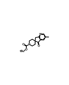 Cc1cnc2c(c1)C(=O)C1(CCN(C(=O)OC(C)(C)C)CC1)C2